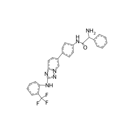 NC(C(=O)Nc1ccc(-c2ccc3nc(Nc4ccccc4C(F)(F)F)nn3c2)cc1)c1ccccc1